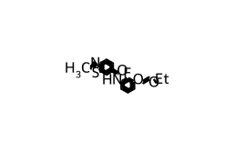 CCOCCOc1cccc(NC(=O)c2ccc3nc(C)sc3c2)c1F